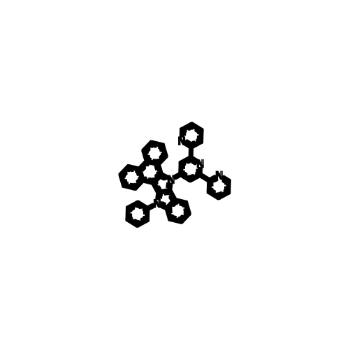 c1ccc(-n2c3ccccc3c3c2c2c4ccccc4c4ccccc4c2n3-c2cc(-c3ccccn3)nc(-c3ccccn3)c2)cc1